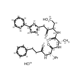 CC(C)[C@H](NC(=O)CCc1ccccc1)C(=O)N[C@@H](C)C(=O)NC(CC(=O)O)C(=O)Cn1nnc(-c2ccccn2)n1.Cl